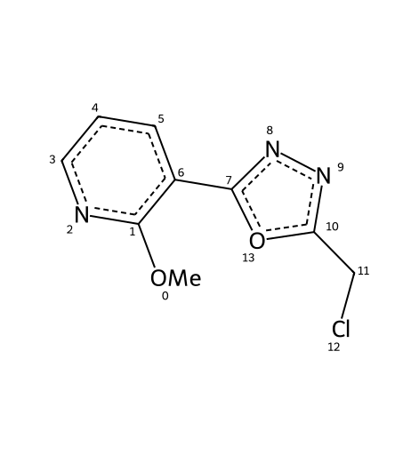 COc1ncccc1-c1nnc(CCl)o1